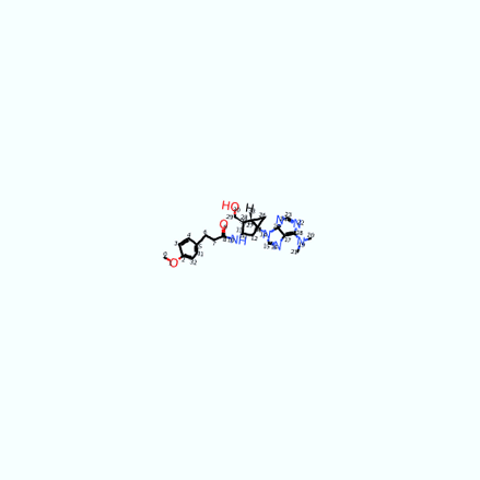 COc1ccc(CCC(=O)N[C@H]2C[C@@]3(n4cnc5c(N(C)C)ncnc54)C[C@H]3[C@@H]2CO)cc1